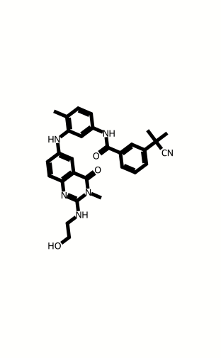 Cc1ccc(NC(=O)c2cccc(C(C)(C)C#N)c2)cc1Nc1ccc2nc(NCCO)n(C)c(=O)c2c1